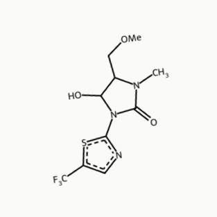 COCC1C(O)N(c2ncc(C(F)(F)F)s2)C(=O)N1C